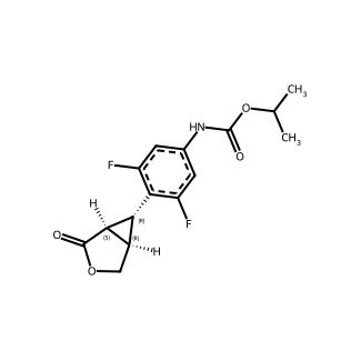 CC(C)OC(=O)Nc1cc(F)c([C@@H]2[C@H]3COC(=O)[C@H]32)c(F)c1